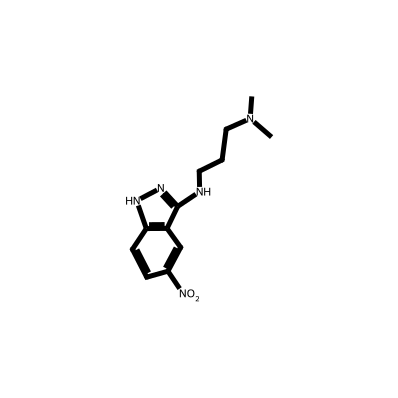 CN(C)CCCNc1n[nH]c2ccc([N+](=O)[O-])cc12